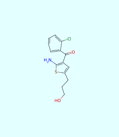 Nc1sc(CCCO)cc1C(=O)c1ccccc1Cl